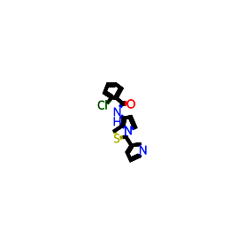 O=C(Nc1ccn2c1CSC2c1cccnc1)c1ccccc1Cl